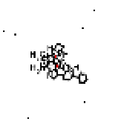 CS(=O)(=O)c1c(C2C[C@H]3CC[C@@H](C2)N3C(=O)c2nc(N)n[nH]2)nc2c(-c3ccc(-c4ccccc4)nc3)cnn2c1N